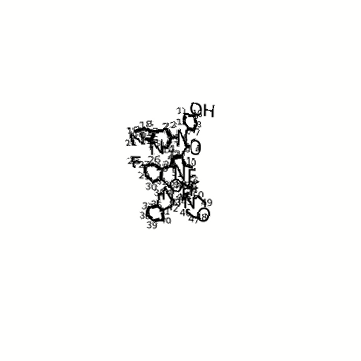 Cc1c(C(=O)N(c2ccc(O)cc2)c2cnc3c(ccn3C)c2)cc(-c2cc(F)ccc2C(=O)N2Cc3ccccc3C[C@H]2CN2CCOCC2)n1CC(F)(F)F